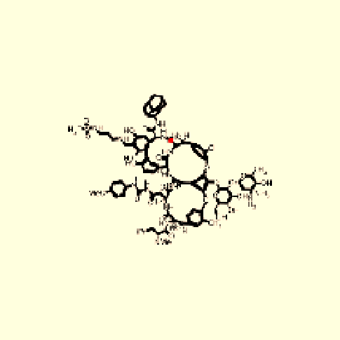 CN[C@H](CC(C)C)C(=O)N[C@H]1C(=O)N[C@@H](CC(=O)NC(=O)Nc2ccc(OC)cc2)C(=O)N[C@H]2C(=O)N[C@H]3C(=O)N[C@H](C(=O)N[C@H](C(=O)NC4C5CC6CC(C5)CC4C6)c4cc(O)c(CNCCCNS(C)(=O)=O)c(C)c4-c4cc3ccc4O)[C@H](O)c3ccc(c(Cl)c3)Oc3cc2cc(c3O[C@@H]2O[C@H](CO)[C@@H](O)[C@H](O)[C@H]2O[C@H]2C[C@](C)(N)[C@H](O)[C@H](C)O2)Oc2ccc(cc2C)[C@H]1O